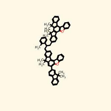 Cc1ccccc1C(Cc1ccc2c(c1)C(C)(C)c1cc(-c3ccc4c(c3)C(C)(C)c3ccccc3-4)c3oc4ccccc4c3c1-2)Cc1ccc2c(c1)C(C)(C)c1c3c(c4c(oc5ccccc54)c1-2)-c1ccccc1C3(C)C